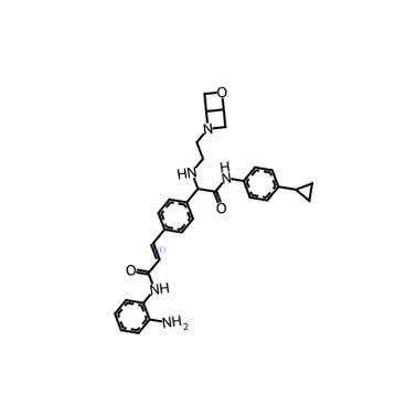 Nc1ccccc1NC(=O)/C=C/c1ccc(C(NCCN2CC3OCC32)C(=O)Nc2ccc(C3CC3)cc2)cc1